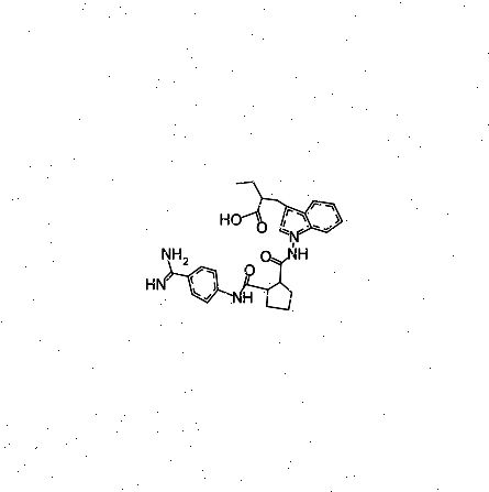 CCC(Cc1cn(NC(=O)C2CCCC2C(=O)Nc2ccc(C(=N)N)cc2)c2ccccc12)C(=O)O